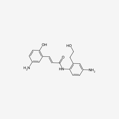 Nc1ccc(O)c(C=CC(=O)Nc2ccc(N)cc2CCO)c1